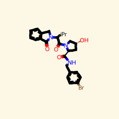 CC(C)C(C(=O)N1C[C@H](O)C[C@H]1C(=O)NCc1ccc(Br)cc1)N1Cc2ccccc2C1=O